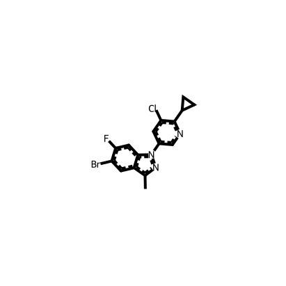 Cc1nn(-c2cnc(C3CC3)c(Cl)c2)c2cc(F)c(Br)cc12